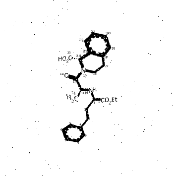 CCOC(=O)C(CCc1ccccc1)N[C@@H](C)C(=O)N1CCc2ccccc2[C@H]1C(=O)O